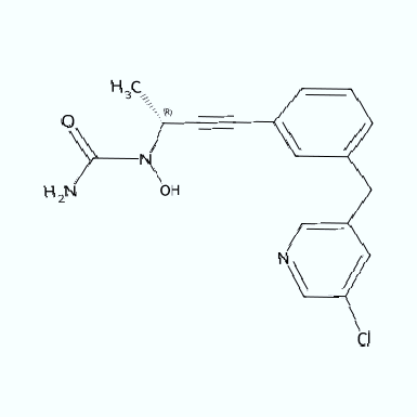 C[C@H](C#Cc1cccc(Cc2cncc(Cl)c2)c1)N(O)C(N)=O